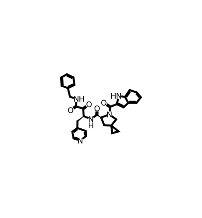 O=C(NCc1ccccc1)C(=O)[C@H](Cc1ccncc1)NC(=O)[C@@H]1CC2(CC2)CN1C(=O)c1cc2ccccc2[nH]1